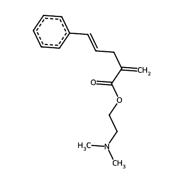 C=C(CC=Cc1ccccc1)C(=O)OCCN(C)C